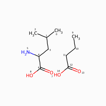 CC(C)CC(N)C(=O)O.CCCC(=O)O